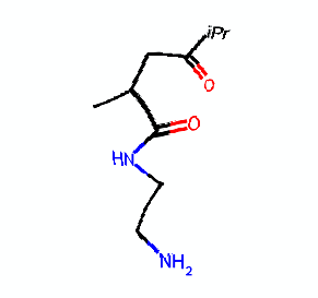 CC(C)C(=O)CC(C)C(=O)NCCN